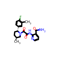 Cc1cc([C@H]2CC[C@H](C)CN2C(=O)C(=O)Nc2ncccc2C(N)=O)ccc1F